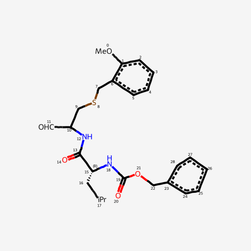 COc1ccccc1CSCC(C=O)NC(=O)[C@@H](CC(C)C)NC(=O)OCc1ccccc1